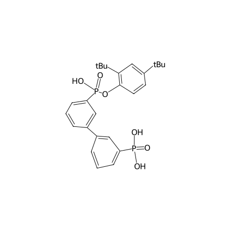 CC(C)(C)c1ccc(OP(=O)(O)c2cccc(-c3cccc(P(=O)(O)O)c3)c2)c(C(C)(C)C)c1